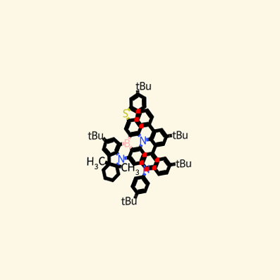 CC(C)(C)c1ccc(N(c2ccc(C(C)(C)C)cc2)c2cc3c4c(c2)N2c5c(cc(C(C)(C)C)cc5C5(C)CCCCC25C)B4c2cc4sc5cc(C(C)(C)C)ccc5c4cc2N3c2c(-c3ccccc3)cc(C(C)(C)C)cc2-c2ccccc2)cc1